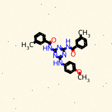 COc1ccc(Nc2nc(NC(=O)c3cccc(C)c3)nc(NC(=O)c3cccc(C)c3)n2)cc1